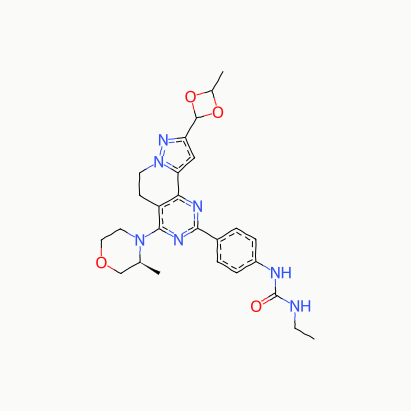 CCNC(=O)Nc1ccc(-c2nc3c(c(N4CCOC[C@@H]4C)n2)CCn2nc(C4OC(C)O4)cc2-3)cc1